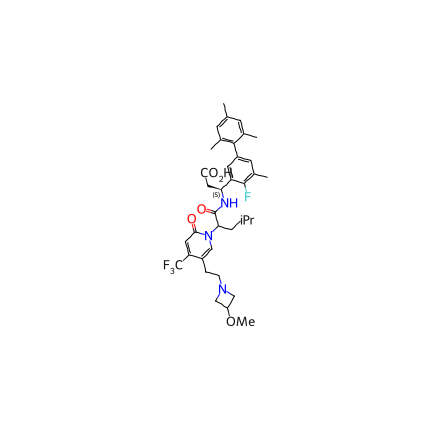 COC1CN(CCc2cn(C(CC(C)C)C(=O)N[C@@H](CC(=O)O)c3cc(-c4c(C)cc(C)cc4C)cc(C)c3F)c(=O)cc2C(F)(F)F)C1